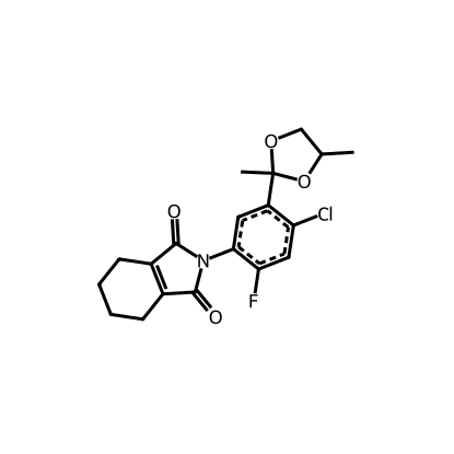 CC1COC(C)(c2cc(N3C(=O)C4=C(CCCC4)C3=O)c(F)cc2Cl)O1